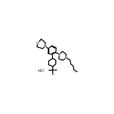 CCCCCN1CCN(c2ccc(N3CCOCC3)cc2C2CCC(C(C)(C)C)CC2)CC1.Cl